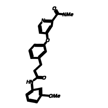 CNC(=O)c1cc(Oc2cccc(CCC(=O)Nc3cccc(OC)c3)c2)ccn1